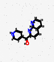 O=C(c1ccncc1)c1ccc2cccnc2n1